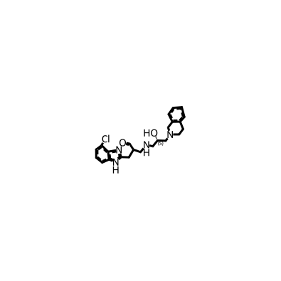 O=CC(CNC[C@H](O)CN1CCc2ccccc2C1)Cc1nc2c(Cl)cccc2[nH]1